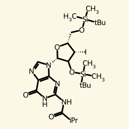 CC(C)C(=O)Nc1nc2c(ncn2[C@@H]2O[C@H](CO[Si](C)(C)C(C)(C)C)[C@H](I)C2O[Si](C)(C)C(C)(C)C)c(=O)[nH]1